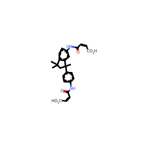 CC1(C)CC(C)(c2ccc(NC(=O)/C=C\C(=O)O)cc2)c2cc(NC(=O)/C=C\C(=O)O)ccc21